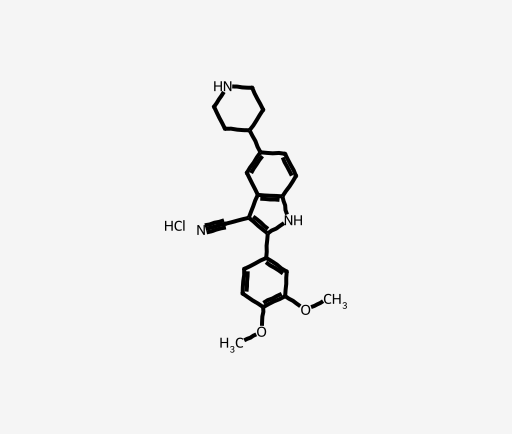 COc1ccc(-c2[nH]c3ccc(C4CCNCC4)cc3c2C#N)cc1OC.Cl